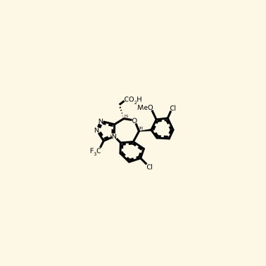 COc1c(Cl)cccc1[C@@H]1O[C@@H](CC(=O)O)c2nnc(C(F)(F)F)n2-c2ccc(Cl)cc21